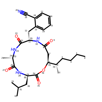 CCCC[C@H](C)[C@@H]1CC(=O)N[C@@H](Cc2ccccc2C#N)C(=O)N[C@@H](C)C(=O)N[C@H](CC(C)C)C(=O)O1